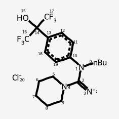 CCCCN(C(=[N+])N1CCCCC1)c1ccc(C(O)(C(F)(F)F)C(F)(F)F)cc1.[Cl-]